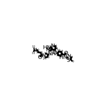 Cc1cnc(NC(=O)c2ccc(Oc3ccnc4[nH]nc(N[C@@H]5CCN(C(=O)CCCN(C)C)C5)c34)cc2)s1